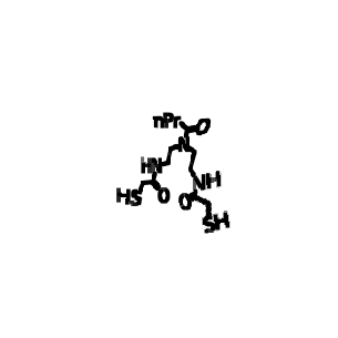 CCCC(=O)N(CCNC(=O)CS)CCNC(=O)CS